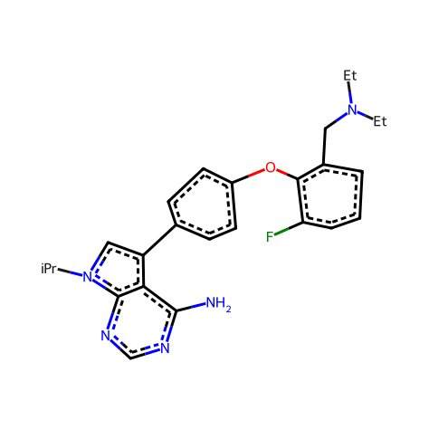 CCN(CC)Cc1cccc(F)c1Oc1ccc(-c2cn(C(C)C)c3ncnc(N)c23)cc1